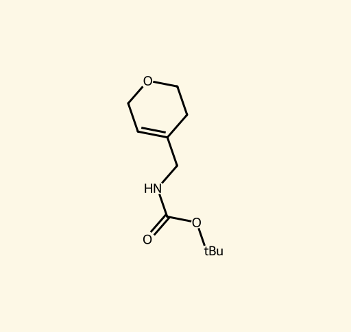 CC(C)(C)OC(=O)NCC1=CCOCC1